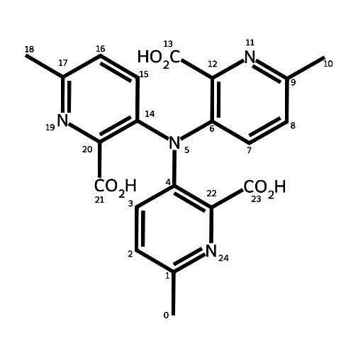 Cc1ccc(N(c2ccc(C)nc2C(=O)O)c2ccc(C)nc2C(=O)O)c(C(=O)O)n1